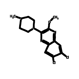 COc1nc2cc(Cl)c(Cl)cc2nc1N1CCN(C)CC1